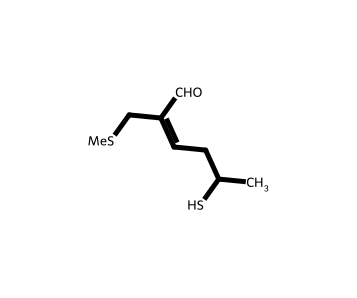 CSCC(C=O)=CCC(C)S